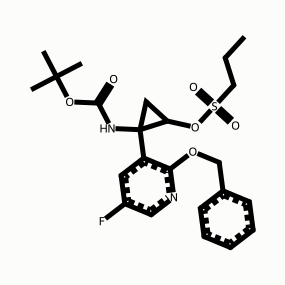 CCCS(=O)(=O)OC1CC1(NC(=O)OC(C)(C)C)c1cc(F)cnc1OCc1ccccc1